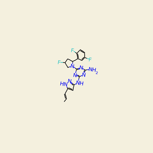 C/C=C/c1cc(Nc2nc(N)nc(N3CC(F)CC3c3cc(F)ccc3F)n2)n[nH]1